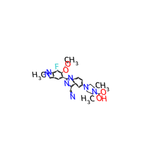 COCOc1c(-c2nc(C#N)c3cc(N4C[C@@H](C)N(C(=O)O)[C@@H](C)C4)ccc3n2)cc2cn(C)nc2c1F